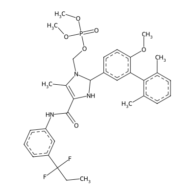 CCC(F)(F)c1cccc(NC(=O)C2=C(C)N(COP(=O)(OC)OC)C(c3ccc(OC)c(-c4c(C)cccc4C)c3)N2)c1